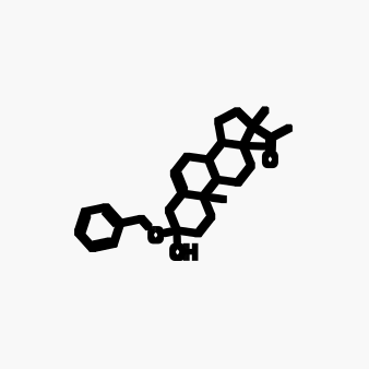 CC(=O)C1(C)CCC2C3CC=C4CC(O)(OCc5ccccc5)CCC4(C)C3CCC21C